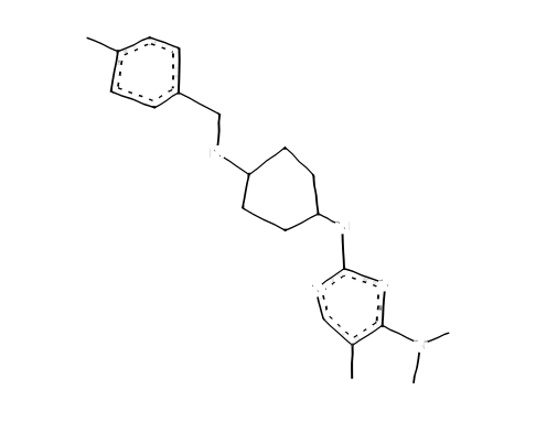 Cc1ccc(CNC2CCC(Nc3ncc(C)c(N(C)C)n3)CC2)cc1